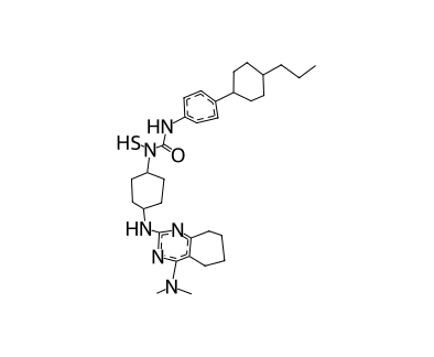 CCCC1CCC(c2ccc(NC(=O)N(S)C3CCC(Nc4nc5c(c(N(C)C)n4)CCCC5)CC3)cc2)CC1